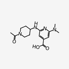 CC(=O)N1CCC(Nc2cc(C(=O)O)cc(N(C)C)n2)CC1